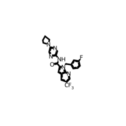 O=C(Nc1cnc(N2CCCC2)cn1)c1cc2cc(C(F)(F)F)cnc2n1Cc1cccc(F)c1